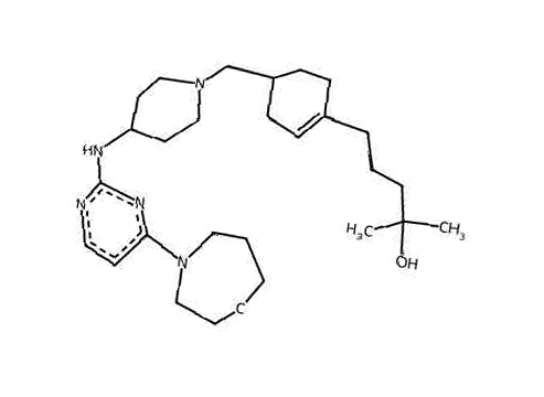 CC(C)(O)CCCC1=CCC(CN2CCC(Nc3nccc(N4CCCCCC4)n3)CC2)CC1